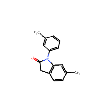 O=C1Cc2ccc(C(F)(F)F)cc2N1c1cccc(C(F)(F)F)c1